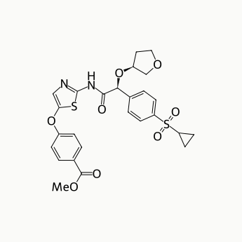 COC(=O)c1ccc(Oc2cnc(NC(=O)[C@@H](O[C@H]3CCOC3)c3ccc(S(=O)(=O)C4CC4)cc3)s2)cc1